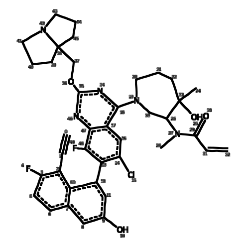 C#Cc1c(F)ccc2cc(O)cc(-c3c(Cl)cc4c(N5CCCC(C)(O)C(N(C)C(=O)C=C)C5)nc(OCC56CCCN5CCC6)nc4c3F)c12